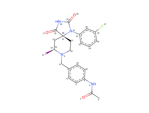 CC(=O)Nc1ccc(CN2CC[C@@]3(C[C@@H]2I)C(=O)NC(=O)N3c2cccc(F)c2)cc1